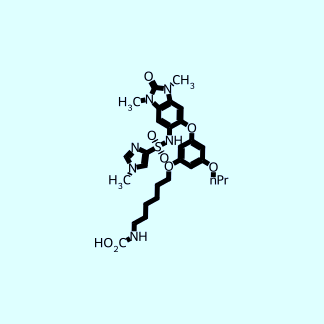 CCCOc1cc(OCCCCCCNC(=O)O)cc(Oc2cc3c(cc2NS(=O)(=O)c2cn(C)cn2)n(C)c(=O)n3C)c1